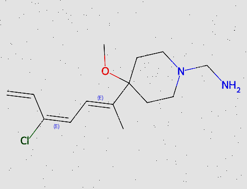 C=C/C(Cl)=C\C=C(/C)C1(OC)CCN(CN)CC1